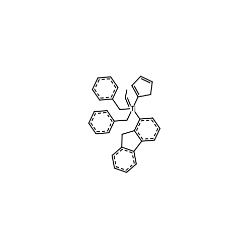 C[CH]=[Ti]([CH2]c1ccccc1)([CH2]c1ccccc1)([C]1=CC=CC1)[c]1cccc2c1Cc1ccccc1-2